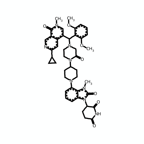 COc1cccc(OC)c1C(c1cn(C)c(=O)c2cnc(C3CC3)cc12)N1CCN(C2CCN(c3cccc4c3n(C)c(=O)n4C3CCC(=O)NC3=O)CC2)C(=O)C1